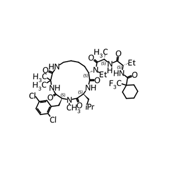 CC[C@H](NC(=O)C1(C(F)(F)F)CCCCC1)C(=O)N[C@@H](C)C(=O)N(CC)[C@H]1CCCCNC(=O)C(C)(C)NC(=O)[C@H](Cc2cc(Cl)ccc2Cl)N(C)C(=O)[C@H](CC(C)C)NC1=O